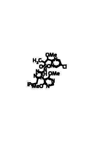 COc1ncnc(OC)c1-n1c(CC(C)C)nnc1NS(=O)(=O)C(C)C(OC)c1ncc(Cl)cn1